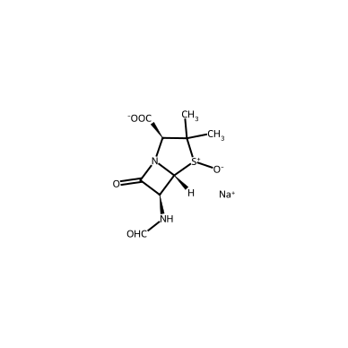 CC1(C)[C@H](C(=O)[O-])N2C(=O)[C@H](NC=O)[C@H]2[S+]1[O-].[Na+]